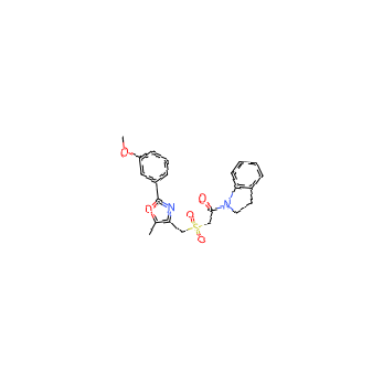 COc1cccc(-c2nc(CS(=O)(=O)CC(=O)N3CCc4ccccc43)c(C)o2)c1